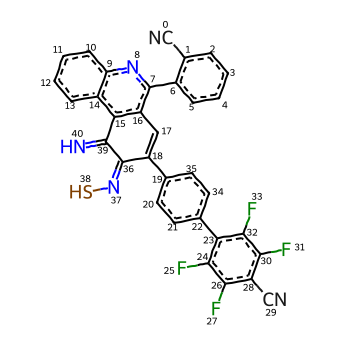 N#Cc1ccccc1-c1nc2ccccc2c2c1C=C(c1ccc(-c3c(F)c(F)c(C#N)c(F)c3F)cc1)/C(=N/S)C2=N